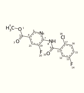 COC(=O)c1cnc(NC(=O)c2cc(F)ccc2Cl)c(F)c1